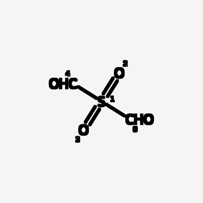 O=CS(=O)(=O)C=O